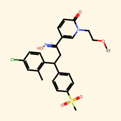 CCOCCn1cc(/C(CC(c2ccc(S(C)(=O)=O)cc2)c2ccc(Cl)cc2C)=N/O)ccc1=O